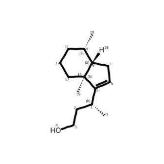 C[C@H](CCO)C1=CC[C@H]2[C@@H](C)CCC[C@]12C